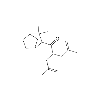 C=C(C)CC(CC(=C)C)C(=O)C1C2CCC(C2)C1(C)C